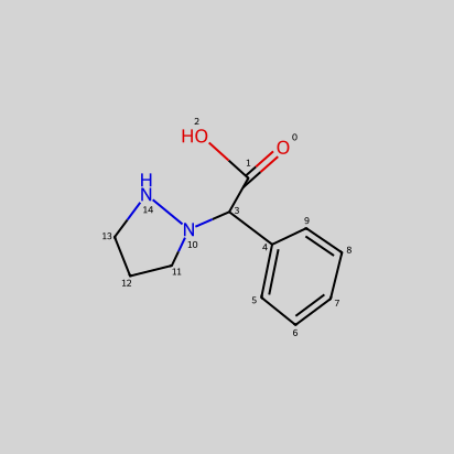 O=C(O)C(c1ccccc1)N1CCCN1